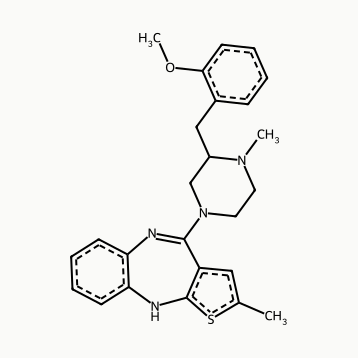 COc1ccccc1CC1CN(C2=Nc3ccccc3Nc3sc(C)cc32)CCN1C